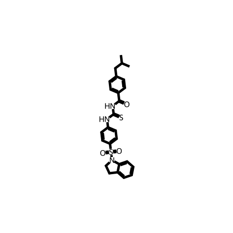 CC(C)Cc1ccc(C(=O)NC(=S)Nc2ccc(S(=O)(=O)N3CCc4ccccc43)cc2)cc1